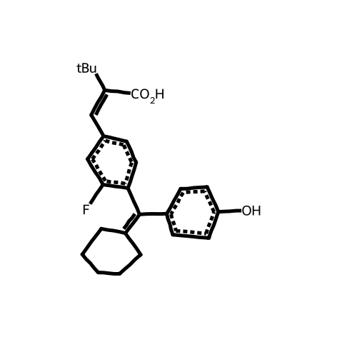 CC(C)(C)C(=Cc1ccc(C(=C2CCCCC2)c2ccc(O)cc2)c(F)c1)C(=O)O